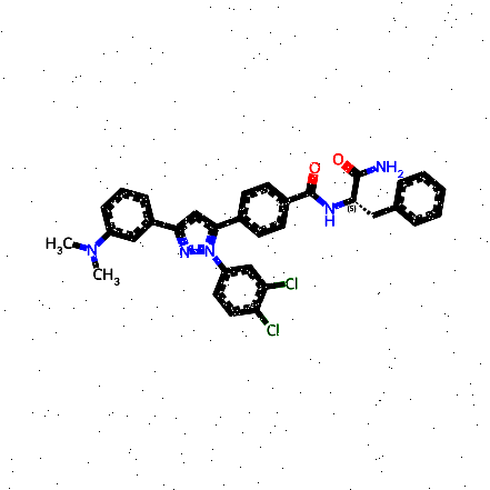 CN(C)c1cccc(-c2cc(-c3ccc(C(=O)N[C@@H](Cc4ccccc4)C(N)=O)cc3)n(-c3ccc(Cl)c(Cl)c3)n2)c1